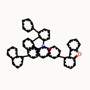 c1ccc(-c2ccccc2-c2c(-c3ccccc3)cccc2N(c2ccc(-c3cccc4ccccc34)cc2)c2ccc(-c3cccc4oc5ccccc5c34)cc2)cc1